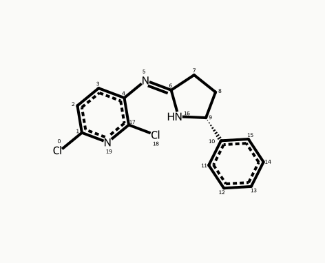 Clc1ccc(/N=C2/CC[C@H](c3ccccc3)N2)c(Cl)n1